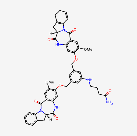 COc1cc2c(cc1OCc1cc(COc3cc4c(cc3OC)C(=O)N3c5ccccc5C[C@H]3C(=O)N4)cc(NCCCC(N)=O)c1)NC(=O)[C@@H]1CC3=C(C=CCC3)N1C2=O